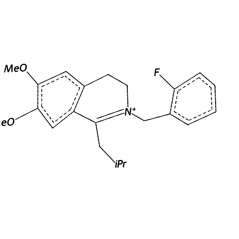 COc1cc2c(cc1OC)C(CC(C)C)=[N+](Cc1ccccc1F)CC2